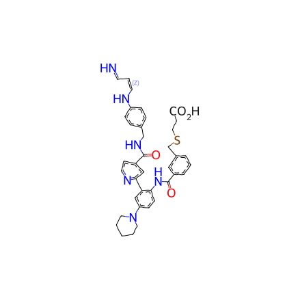 N=C/C=C\Nc1ccc(CNC(=O)c2ccnc(-c3cc(N4CCCCC4)ccc3NC(=O)c3cccc(CSCCC(=O)O)c3)c2)cc1